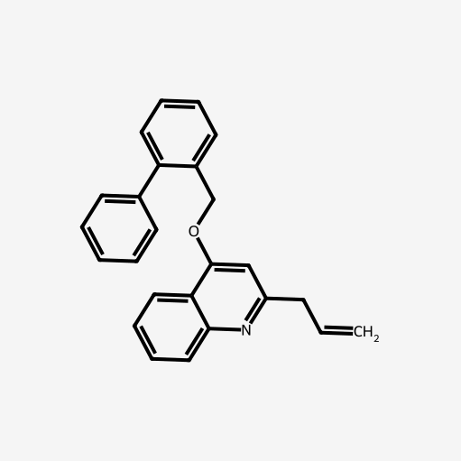 C=CCc1cc(OCc2ccccc2-c2ccccc2)c2ccccc2n1